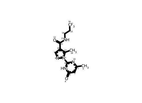 Cc1cc(=O)[nH]c(-n2ncc(C(=O)NCCC(F)(F)F)c2C)n1